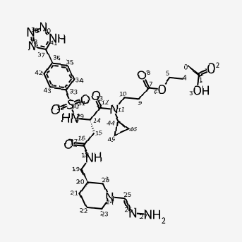 CC(=O)O.CCOC(=O)CCN(C(=O)[C@H](CC(=O)NC[C@@H]1CCCN(C=NN)C1)NS(=O)(=O)c1ccc(-c2nnn[nH]2)cc1)C1CC1